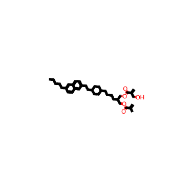 C=C(C)C(=O)OCC(CCCCC1CCC(CCc2ccc3cc(CCCCC)ccc3c2)CC1)COC(=O)C(=C)CO